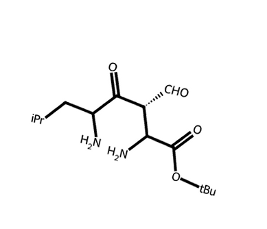 CC(C)CC(N)C(=O)[C@H](C=O)C(N)C(=O)OC(C)(C)C